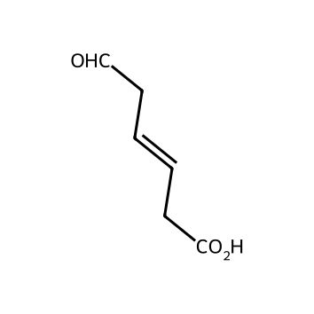 O=CCC=CCC(=O)O